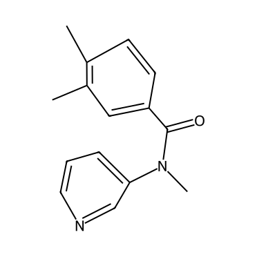 Cc1ccc(C(=O)N(C)c2cccnc2)cc1C